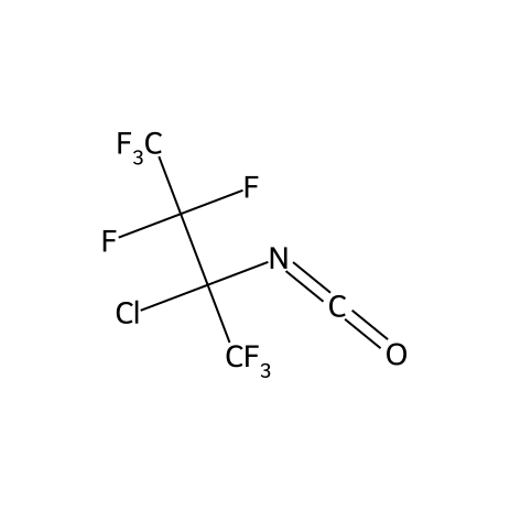 O=C=NC(Cl)(C(F)(F)F)C(F)(F)C(F)(F)F